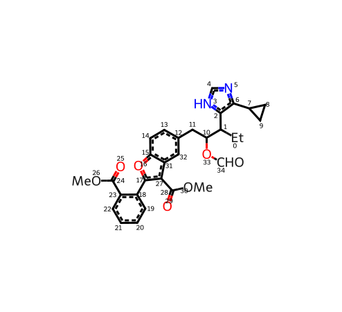 CCC(c1[nH]cnc1C1CC1)C(Cc1ccc2oc(-c3ccccc3C(=O)OC)c(C(=O)OC)c2c1)OC=O